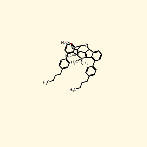 CCCCc1ccc(-c2cccc3c2C2=C(CCC)[CH]3[Zr][CH]3C(CCC)=C(c4c(-c5ccc(CCCC)cc5)cccc43)[Si]2(C)C)cc1